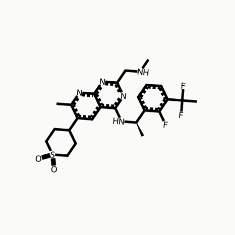 CNCc1nc(N[C@H](C)c2cccc(C(C)(F)F)c2F)c2cc(C3CCS(=O)(=O)CC3)c(C)nc2n1